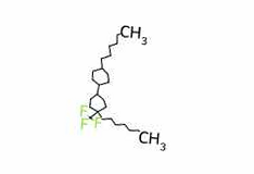 CCCCCCCC1(C(F)(F)F)CCC(C2CCC(CCCCCC)CC2)CC1